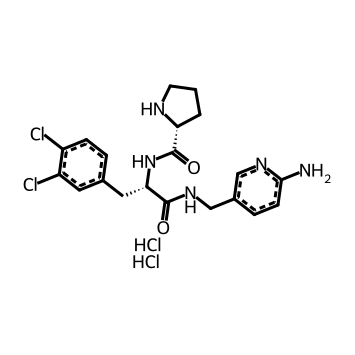 Cl.Cl.Nc1ccc(CNC(=O)[C@H](Cc2ccc(Cl)c(Cl)c2)NC(=O)[C@H]2CCCN2)cn1